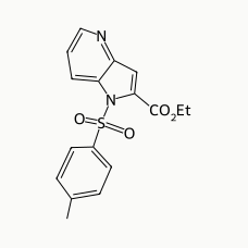 CCOC(=O)c1cc2ncccc2n1S(=O)(=O)c1ccc(C)cc1